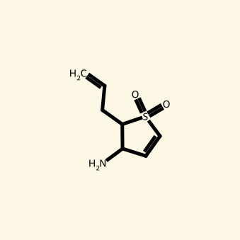 C=CCC1C(N)C=CS1(=O)=O